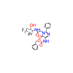 CC(C)C(NC(=O)Cn1c(-c2ccccc2)ncc(NC(=O)OCc2ccccc2)c1=O)C(O)C(F)(F)F